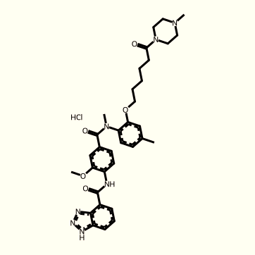 COc1cc(C(=O)N(C)c2ccc(C)cc2OCCCCCC(=O)N2CCN(C)CC2)ccc1NC(=O)c1cccc2[nH]nnc12.Cl